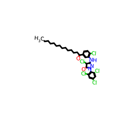 CCCCCCCCCCCCCC(=O)c1ccc(Cl)c(NC2=NN(c3c(Cl)cc(Cl)cc3Cl)C(=O)C2Cl)c1